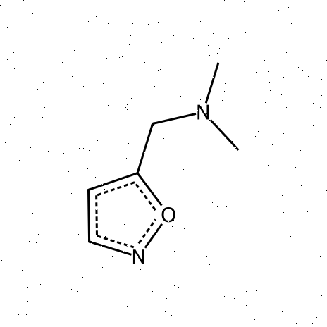 CN(C)Cc1ccno1